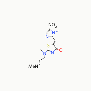 CNCCCN(C)C1=NC(=O)/C(=C/c2ncc([N+](=O)[O-])n2C)S1